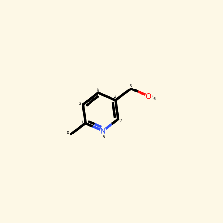 Cc1ccc(C[O])cn1